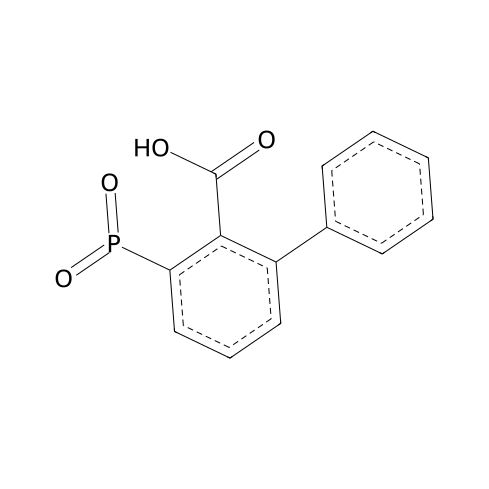 O=C(O)c1c(-c2ccccc2)cccc1P(=O)=O